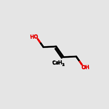 OCC=CCO.[CaH2]